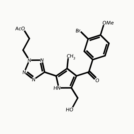 COc1ccc(C(=O)c2c(CO)[nH]c(-c3nnn(CCOC(C)=O)n3)c2C)cc1Br